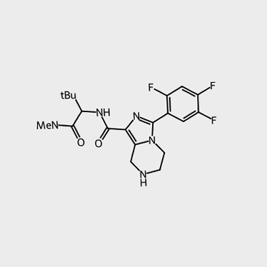 CNC(=O)C(NC(=O)c1nc(-c2cc(F)c(F)cc2F)n2c1CNCC2)C(C)(C)C